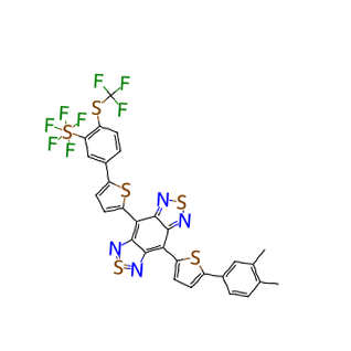 Cc1ccc(-c2ccc(-c3c4c(c(-c5ccc(-c6ccc(SC(F)(F)F)c(S(F)(F)(F)(F)F)c6)s5)c5nsnc35)N=S=N4)s2)cc1C